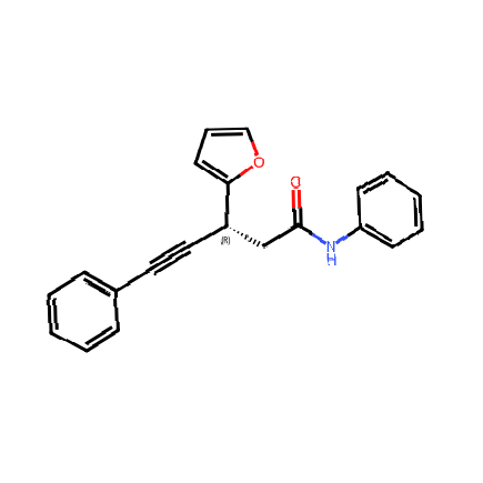 O=C(C[C@H](C#Cc1ccccc1)c1ccco1)Nc1ccccc1